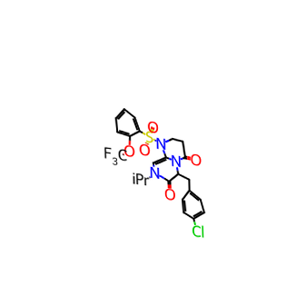 CC(C)N1C=C2N(C(=O)CCN2S(=O)(=O)c2ccccc2OC(F)(F)F)C(Cc2ccc(Cl)cc2)C1=O